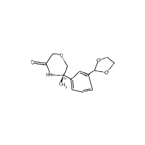 C[C@]1(c2cccc(C3OCCO3)c2)COCC(=O)N1